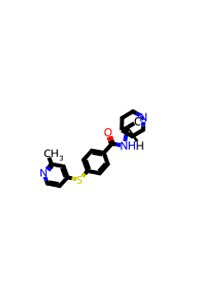 Cc1cc(Sc2ccc(C(=O)N[C@H]3CN4CCC3CC4)cc2)ccn1